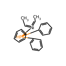 C/[CH]=[Ni](=[CH]\C)/[PH](c1ccccc1)(c1ccccc1)c1ccccc1